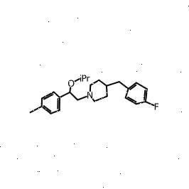 Cc1ccc(C(CN2CCC(Cc3ccc(F)cc3)CC2)OC(C)C)cc1